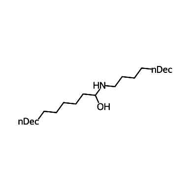 CCCCCCCCCCCCCCCC(O)NCCCCCCCCCCCCCC